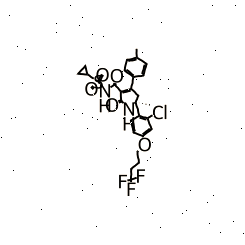 Cc1ccc(C2=C(C(=O)NS(=O)(=O)C3CC3)C(=O)N[C@](C)(c3ccc(OCCCC(F)(F)F)cc3Cl)C2)cc1